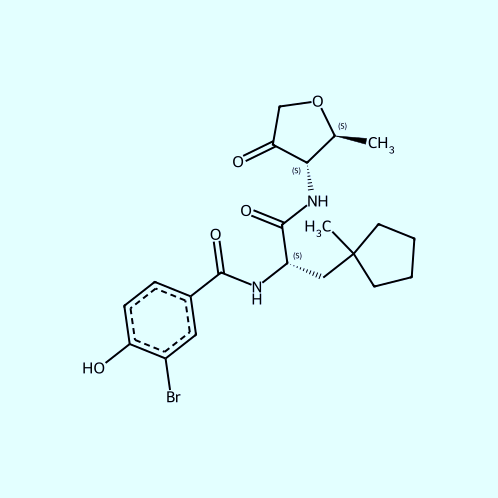 C[C@@H]1OCC(=O)[C@H]1NC(=O)[C@H](CC1(C)CCCC1)NC(=O)c1ccc(O)c(Br)c1